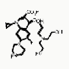 O=C(O)c1cn(C2CC2)c2cc(N3CCNCC3)c(F)cc2c1=O.OCCN(CCO)CCO